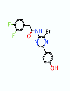 CCc1nc(-c2ccc(O)cc2)cnc1NC(=O)Cc1ccc(F)c(F)c1